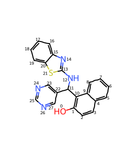 Oc1ccc2ccccc2c1C(Nc1nc2ccccc2s1)c1cncnc1